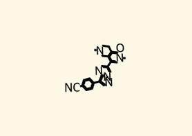 CN1CCc2c(c(-c3cnc4c(-c5ccc(C#N)cc5)cnn4c3)cn(C)c2=O)C1